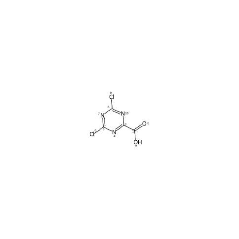 O=C(O)c1nc(Cl)nc(Cl)n1